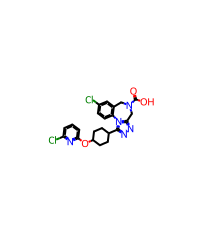 O=C(O)N1Cc2cc(Cl)ccc2-n2c(nnc2C2CCC(Oc3cccc(Cl)n3)CC2)C1